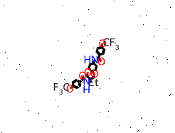 CCC1(NC(=O)c2ccc(OC(F)(F)F)cc2)COC2(CCC(NC(=O)c3ccc(OC(F)(F)F)cc3)CC2)OC1